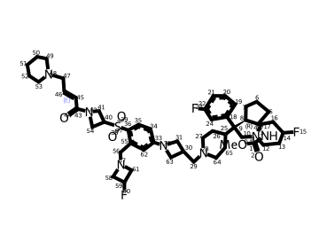 COC(=O)N[C@H]1CCC[C@@H]1C(CN1CCC(F)CC1)(c1cccc(F)c1)C1CCN(CC2CN(c3ccc(S(=O)(=O)C4CN(C(=O)/C=C/CN5CCCCC5)C4)c(CN4CC(F)C4)c3)C2)CC1